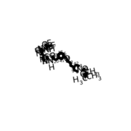 CC(C)(C)OC(=O)N1CCC(CCCOc2cccc(CC(=O)Nc3nnc(-c4nonc4NC(=O)C(F)(F)F)s3)c2)CC1